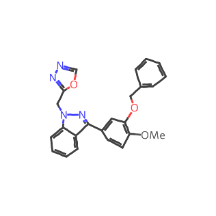 COc1ccc(-c2nn(Cc3nnco3)c3ccccc23)cc1OCc1ccccc1